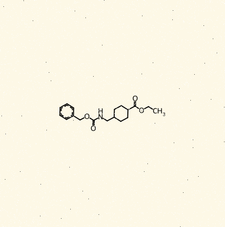 CCOC(=O)C1CCC(CNC(=O)OCc2ccccc2)CC1